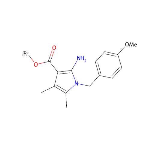 COc1ccc(Cn2c(C)c(C)c(C(=O)OC(C)C)c2N)cc1